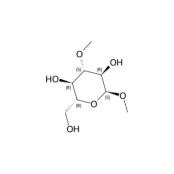 CO[C@H]1O[C@H](CO)[C@@H](O)[C@H](OC)[C@H]1O